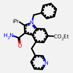 CCOC(=O)c1cc(Cc2cccnc2)c2c(C(N)=O)c(C(C)C)n(Cc3ccccc3)c2c1